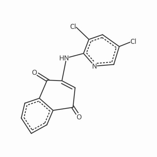 O=C1C=C(Nc2ncc(Cl)cc2Cl)C(=O)c2ccccc21